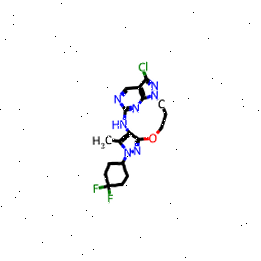 Cc1c2c(nn1C1CCC(F)(F)CC1)OCCCn1nc(Cl)c3cnc(nc31)N2